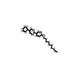 C=CCCCCCCCCOc1ccc(-c2ncc(-c3ccccc3)cn2)cn1